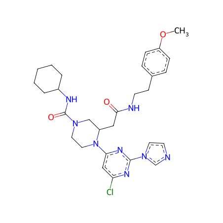 COc1ccc(CCNC(=O)CC2CN(C(=O)NC3CCCCC3)CCN2c2cc(Cl)nc(-n3ccnc3)n2)cc1